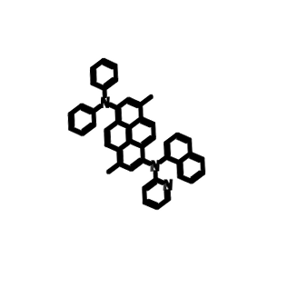 Cc1cc(N(c2ccccc2)c2ccccc2)c2ccc3c(C)cc(N(c4ccccn4)c4cccc5ccccc45)c4ccc1c2c34